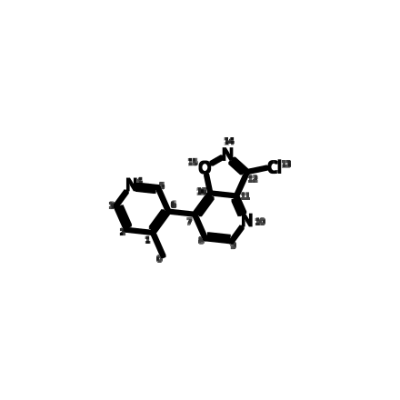 Cc1ccncc1-c1ccnc2c(Cl)noc12